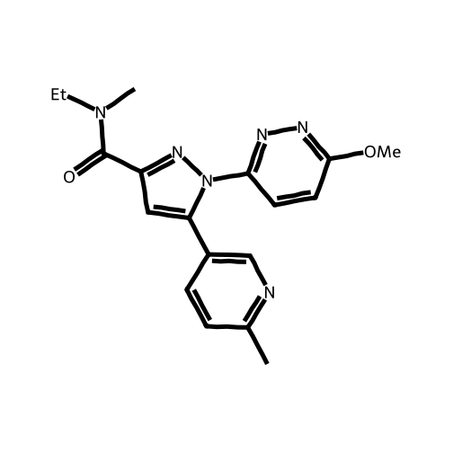 CCN(C)C(=O)c1cc(-c2ccc(C)nc2)n(-c2ccc(OC)nn2)n1